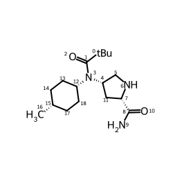 CC(C)(C)C(=O)N([C@@H]1CN[C@H](C(N)=O)C1)[C@H]1CC[C@@H](C)CC1